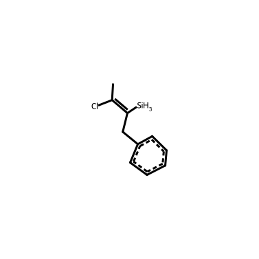 CC(Cl)=C([SiH3])Cc1ccccc1